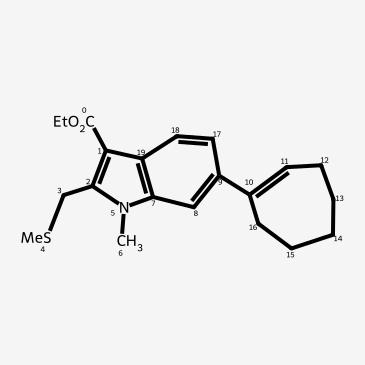 CCOC(=O)c1c(CSC)n(C)c2cc(C3=CCCCCC3)ccc12